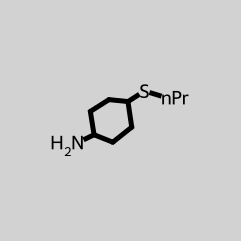 CCCSC1CCC(N)CC1